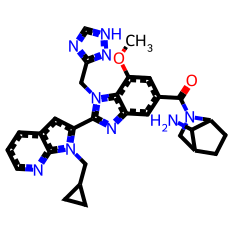 COc1cc(C(=O)N2CC3CCC2C3N)cc2nc(-c3cc4cccnc4n3CC3CC3)n(Cc3nc[nH]n3)c12